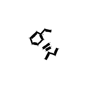 C=C.C=C.C=CC=C.C=Cc1ccccc1